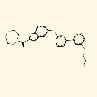 O=C(c1cc2cc(Nc3nccc(-c4cc(OCCCO)ccn4)n3)ccc2[nH]1)N1CCCOCC1